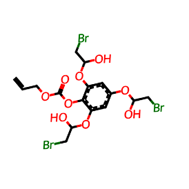 C=CCOC(=O)Oc1c(OC(O)CBr)cc(OC(O)CBr)cc1OC(O)CBr